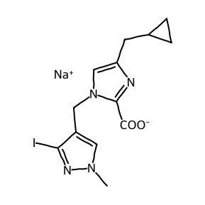 Cn1cc(Cn2cc(CC3CC3)nc2C(=O)[O-])c(I)n1.[Na+]